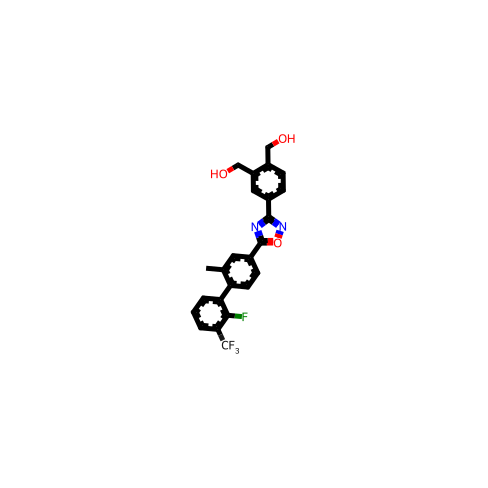 Cc1cc(-c2nc(-c3ccc(CO)c(CO)c3)no2)ccc1-c1cccc(C(F)(F)F)c1F